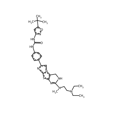 CCN(CC)CCN(C)C1=Nc2sc3nc(-c4ccc(NC(=O)Nc5cc(C(C)(C)C)on5)cc4)cn3c2CN1